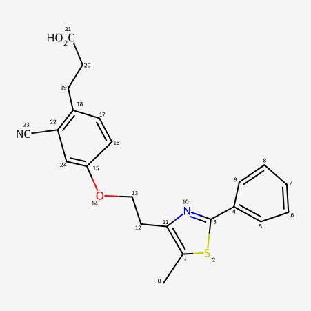 Cc1sc(-c2ccccc2)nc1CCOc1ccc(CCC(=O)O)c(C#N)c1